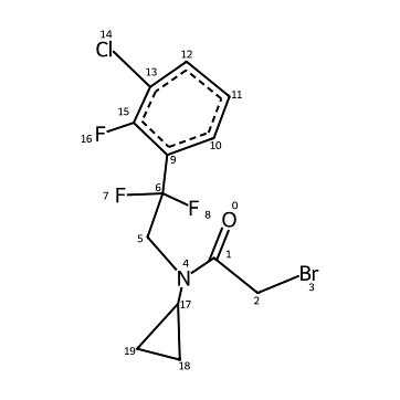 O=C(CBr)N(CC(F)(F)c1cccc(Cl)c1F)C1CC1